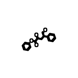 O=CC(CC(=O)C(=O)Oc1ccccc1)c1ccccc1